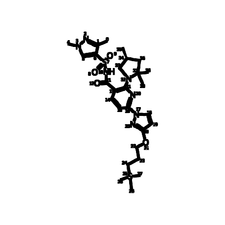 Cc1nn(C)cc1S(=O)(=O)NC(=O)c1ccc(-n2ccc(OCCCS(C)(C)C)n2)nc1N1C[C@@H](C)CC1(C)C